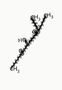 CCCCCCCCCCOC(=O)CCCCCN(CCO)CCCCCCCC(=O)OC(CCCCCCCC)CCCCCCCC